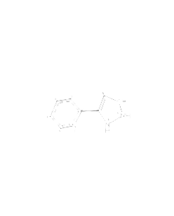 C1=C(c2ccccn2)NNS1